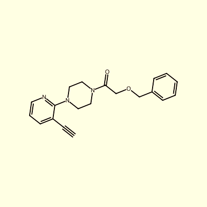 C#Cc1cccnc1N1CCN(C(=O)COCc2ccccc2)CC1